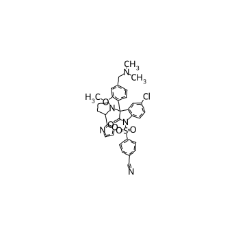 COc1cc(CN(C)C)ccc1C1(N2CCCC2c2ncco2)C(=O)N(S(=O)(=O)c2ccc(C#N)cc2)c2ccc(Cl)cc21